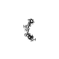 CC(=O)N(CCNCC(O)COc1ccccc1C)Oc1ccc(S)nn1